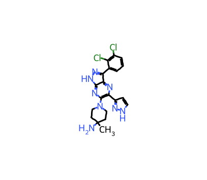 CC1(N)CCN(c2nc3[nH]nc(-c4cccc(Cl)c4Cl)c3nc2-c2cc[nH]n2)CC1